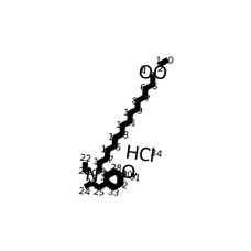 CCOC(=O)CCCCCCCCCCCCCCCN(CC)C(C)Cc1ccc(OC)cc1.Cl